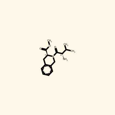 COC(=O)[C@@H]1Cc2ccccc2CN1C(=O)[C@@H](N)C(C)C